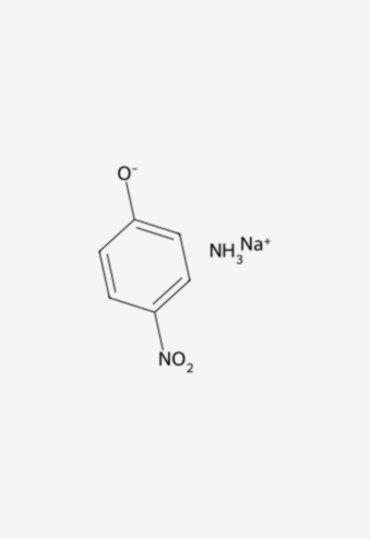 N.O=[N+]([O-])c1ccc([O-])cc1.[Na+]